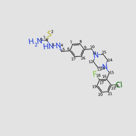 NC(=S)N/N=C/c1ccc(CN2CCN(Cc3c(F)cccc3Cl)CC2)cc1